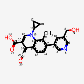 Cc1c(-c2cncc(CO)c2)ccc2c1N(C1CC1)C=C(C(=O)O)C2=C=O